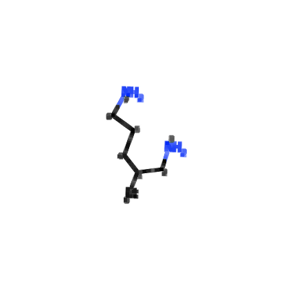 CCC(CN)CCCN